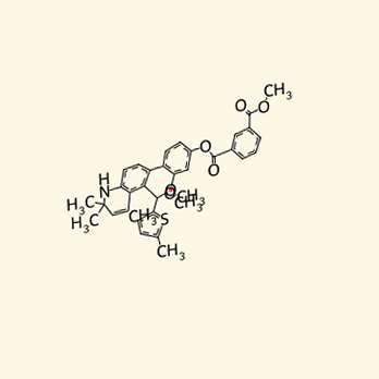 COC(=O)c1cccc(C(=O)Oc2ccc(-c3ccc4c(c3C(OC)c3ccc(C)s3)C(C)=CC(C)(C)N4)c(OC)c2)c1